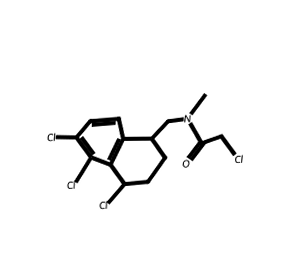 CN(CC1CCC(Cl)c2c1ccc(Cl)c2Cl)C(=O)CCl